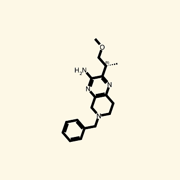 COC[C@H](C)c1nc2c(nc1N)CN(Cc1ccccc1)CC2